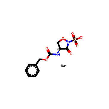 O=C(N[C@H]1CON(S(=O)(=O)[O-])C1=O)OCc1ccccc1.[Na+]